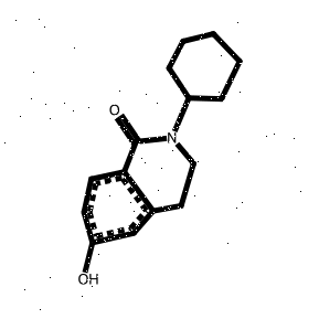 O=C1c2ccc(O)cc2CCN1C1CCCCC1